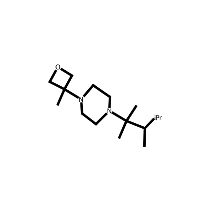 CC(C)C(C)C(C)(C)N1CCN(C2(C)COC2)CC1